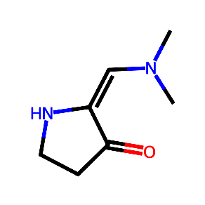 CN(C)C=C1NCCC1=O